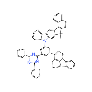 CC1(C)c2cc3c(cc2-c2c1ccc1ccccc21)c1ccccc1n3-c1cc(-c2nc(-c3ccccc3)nc(-c3ccccc3)n2)cc(-c2ccc3c4c(cccc24)-c2ccccc2-3)c1